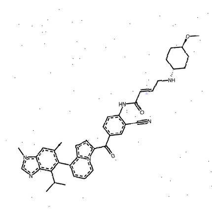 CO[C@H]1CC[C@H](NC/C=C/C(=O)Nc2ccc(C(=O)c3ccc4c(-c5c(C)cc6c(ncn6C)c5C(C)C)cccn34)cc2C#N)CC1